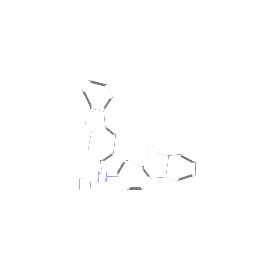 CCn1c2c(c3c4c(ccc31)C1C=CC=CC1O4)C=C1c3ccccc3OC1C2